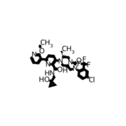 CCOc1ncccc1-c1ccc(N2C[C@H]3CN(c4ccc(Cl)cc4C(F)(F)F)C(=O)N3C[C@H]2CC)c(C(=O)NCC2(O)CC2)n1